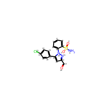 NS(=O)(=O)c1ccccc1-n1nc(C=O)cc1-c1ccc(Cl)cc1